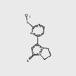 CSc1nccc(-c2cc(=O)n3n2CCC3)n1